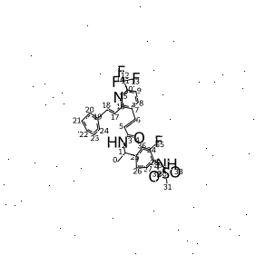 CC(NC(=O)C=Cc1ccc(C(F)(F)F)nc1C=Cc1ccccc1)c1ccc(NS(C)(=O)=O)c(F)c1